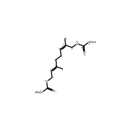 CCCCCC(=O)OC/C=C(\C)CC/C=C(/C)COC(=O)CCCCC